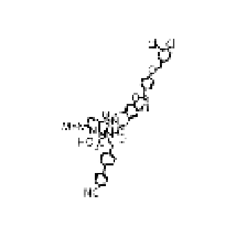 CNc1ccc(S(=O)(=O)N2Cc3cc4c(cc3C[C@H]2C(=O)NC(Cc2ccc(-c3ccc(C#N)cc3)cc2)C(=O)O)OC[C@H](c2ccc(OCc3ccc(Cl)c(Cl)c3)cc2)O4)c(C)n1